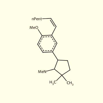 CCCCC/C=C\c1cc(C2CCC(C)(C)C2NC)ccc1OC